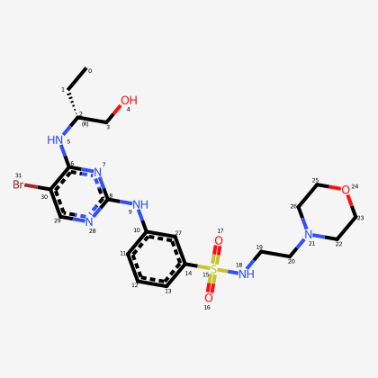 CC[C@H](CO)Nc1nc(Nc2cccc(S(=O)(=O)NCCN3CCOCC3)c2)ncc1Br